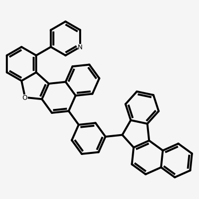 c1cncc(-c2cccc3oc4cc(-c5cccc(C6c7ccccc7-c7c6ccc6ccccc76)c5)c5ccccc5c4c23)c1